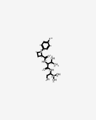 CC(C)CC(NC(=O)C(NC(=O)C1CCN1c1ccc(F)cc1)C(C)O)B(O)O